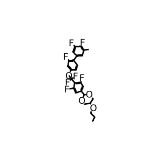 CCCOC1COC(c2cc(F)c(C(F)(F)Oc3ccc(-c4cc(C)c(F)c(F)c4)c(F)c3)c(F)c2)OC1